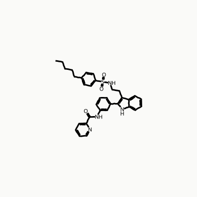 CCCCCc1ccc(S(=O)(=O)NCCc2c(-c3cccc(NC(=O)c4ccccn4)c3)[nH]c3ccccc23)cc1